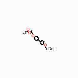 CCCCCCCCCCCOc1ccc(-c2ccc(OCC(C)OC(=O)CC)cc2)cc1